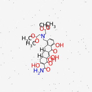 COC(CN(Cc1ccc(O)c2c1C[C@H]1C[C@H]3CC(O)=C(C(N)=O)C(=O)[C@@]3(O)C(O)=C1C2=O)CC(OC)OC)OC